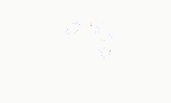 Cc1cnc(OC(=O)NC23CC4CC(C2)CC(NC(=O)c2ccn(C)n2)(C4)C3)cn1